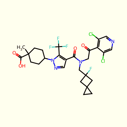 CC1(C(=O)O)CCC(n2ncc(C(=O)N(CC(=O)c3c(Cl)cncc3Cl)CC3(F)CC4(CC4)C3)c2C(F)(F)F)CC1